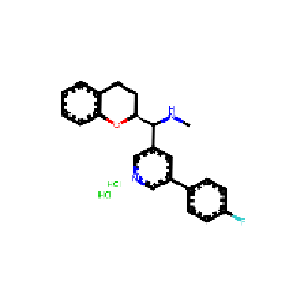 CNC(c1cncc(-c2ccc(F)cc2)c1)[C@@H]1CCc2ccccc2O1.Cl.Cl